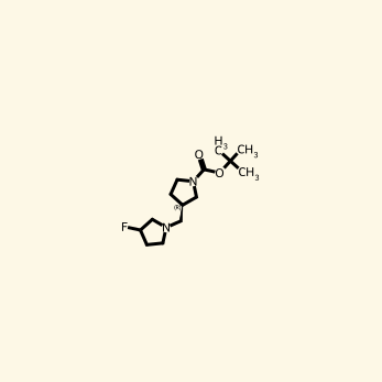 CC(C)(C)OC(=O)N1CC[C@H](CN2CCC(F)C2)C1